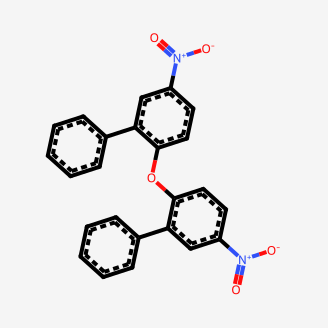 O=[N+]([O-])c1ccc(Oc2ccc([N+](=O)[O-])cc2-c2ccccc2)c(-c2ccccc2)c1